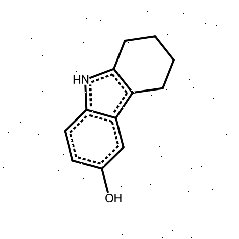 Oc1ccc2[nH]c3c(c2c1)CCCC3